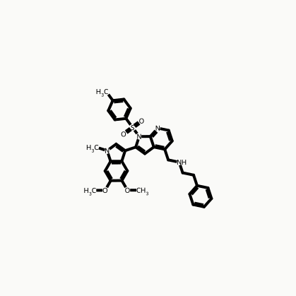 COc1cc2c(-c3cc4c(CNCCc5ccccc5)ccnc4n3S(=O)(=O)c3ccc(C)cc3)cn(C)c2cc1OC